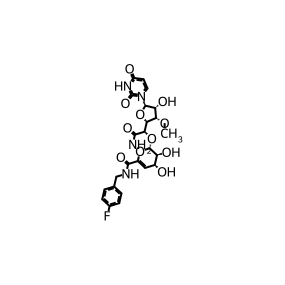 CO[C@H]1[C@@H](O)[C@H](n2ccc(=O)[nH]c2=O)O[C@@H]1[C@@H](O[C@H]1OC(C(=O)NCc2ccc(F)cc2)=C[C@H](O)[C@@H]1O)C(N)=O